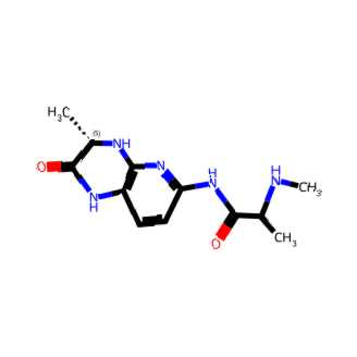 CNC(C)C(=O)Nc1ccc2c(n1)N[C@@H](C)C(=O)N2